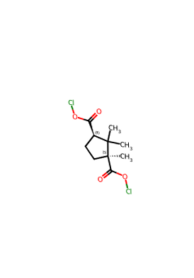 CC1(C)[C@H](C(=O)OCl)CC[C@]1(C)C(=O)OCl